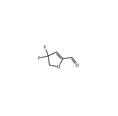 O=CC1=CC(F)(F)CO1